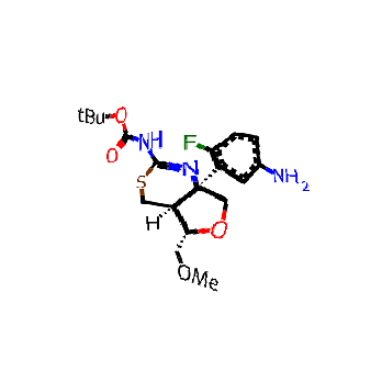 COC[C@H]1OC[C@]2(c3cc(N)ccc3F)N=C(NC(=O)OC(C)(C)C)SC[C@H]12